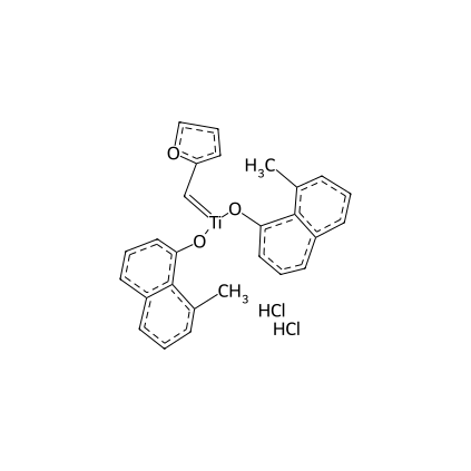 Cc1cccc2cccc([O][Ti](=[CH]c3ccco3)[O]c3cccc4cccc(C)c34)c12.Cl.Cl